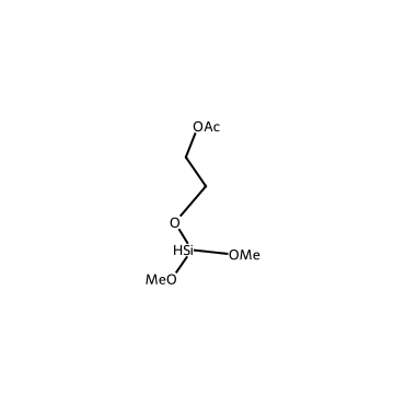 CO[SiH](OC)OCCOC(C)=O